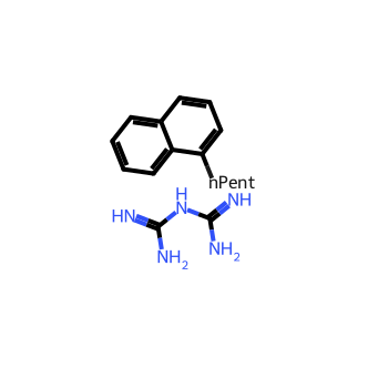 CCCCCc1cccc2ccccc12.N=C(N)NC(=N)N